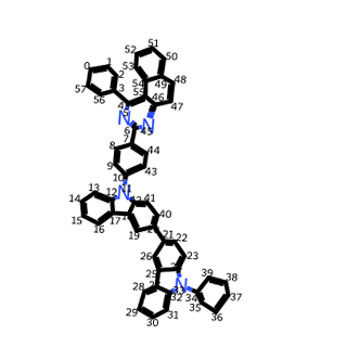 c1ccc(-c2nc(-c3ccc(-n4c5ccccc5c5cc(-c6ccc7c(c6)c6ccccc6n7-c6ccccc6)ccc54)cc3)nc3ccc4ccccc4c23)cc1